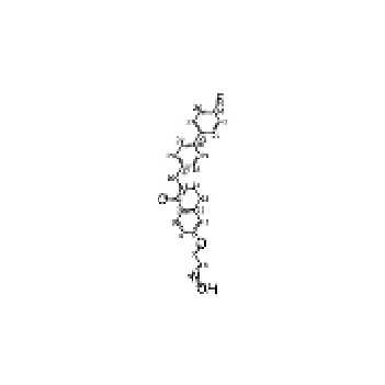 O=C1c2ccc(OCC=NO)cc2CCN1Cc1ccc(-c2ccc(F)cc2)cc1